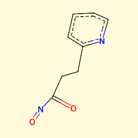 O=NC(=O)CCc1ccccn1